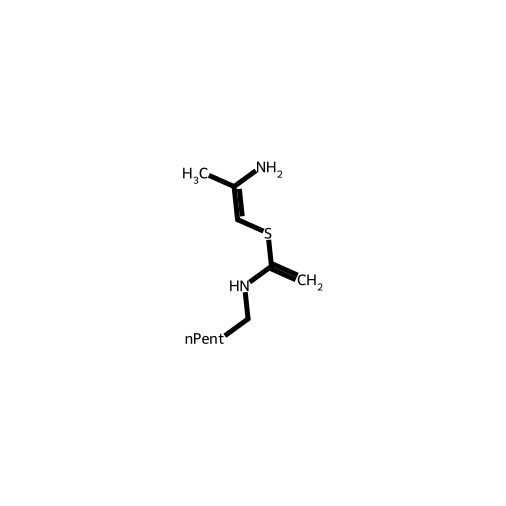 C=C(NCCCCCC)S/C=C(/C)N